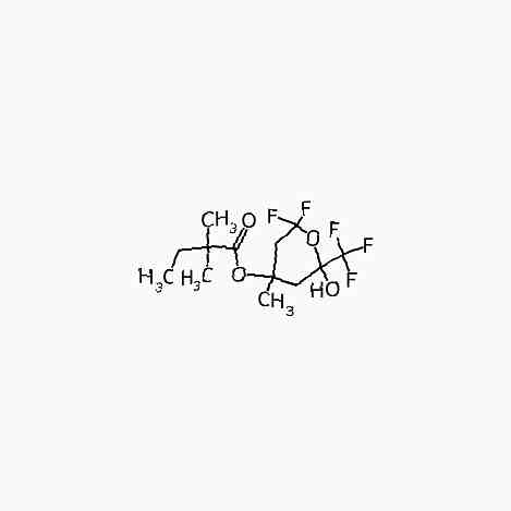 CCC(C)(C)C(=O)OC1(C)CC(F)(F)OC(O)(C(F)(F)F)C1